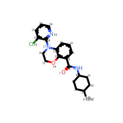 CC(C)(C)C1CCC(NC(=O)c2cccc3c2OCCN3c2ncccc2Cl)CC1